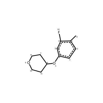 Cc1ccc(OC2CCOCC2)cc1F